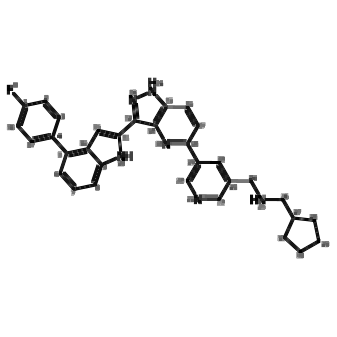 Fc1ccc(-c2cccc3[nH]c(-c4n[nH]c5ccc(-c6cncc(CNCC7CCCC7)c6)nc45)cc23)cc1